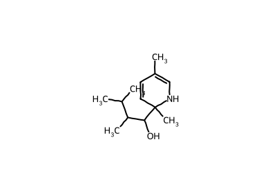 CC1=CNC(C)(C(O)C(C)C(C)C)C=C1